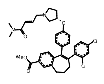 COC(=O)c1ccc2c(c1)CCCC(c1ccc(Cl)cc1Cl)=C2c1ccc(O[C@H]2CCN(CC=CC(=O)N(C)C)C2)cc1